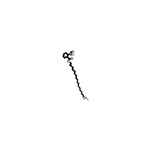 CCCCCCCCCCCCCCCCCCOC(=O)c1ccccc1NC=O